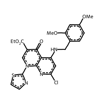 CCOC(=O)c1cn(-c2nccs2)c2nc(Cl)cc(NCc3ccc(OC)cc3OC)c2c1=O